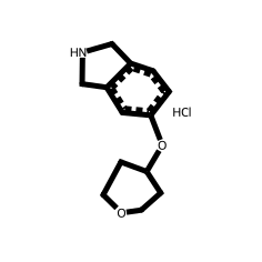 Cl.c1cc2c(cc1OC1CCOCC1)CNC2